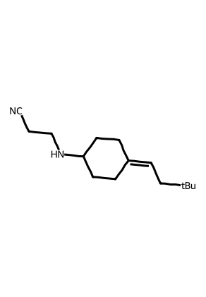 CC(C)(C)CC=C1CCC(NCCC#N)CC1